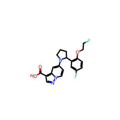 O=C(O)c1cnn2ccc(N3CCCC3c3cc(F)ccc3OCCF)cc12